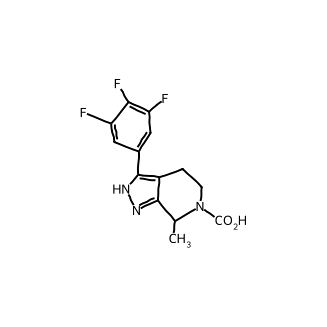 CC1c2n[nH]c(-c3cc(F)c(F)c(F)c3)c2CCN1C(=O)O